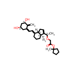 C=C1C(=CC=C2CCC[C@]3(C)C([C@H](C)OCC(=O)OC4(C)CCCC4)=CC[C@@H]23)C[C@@H](O)C[C@@H]1O